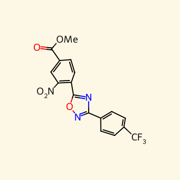 COC(=O)c1ccc(-c2nc(-c3ccc(C(F)(F)F)cc3)no2)c([N+](=O)[O-])c1